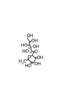 C[C@H]1OC(C(=O)[C@H](O)[C@@H](O)[C@H](O)[C@H](O)CO)[C@H](O)[C@@H](O)[C@H]1O